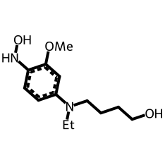 CCN(CCCCO)c1ccc(NO)c(OC)c1